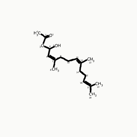 CC(=O)OC(O)C=C(C)CCC=C(C)CCC=C(C)C